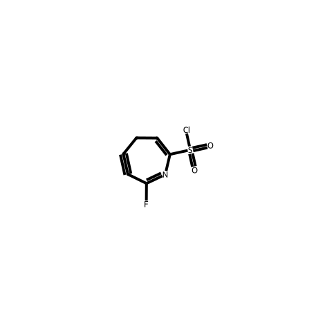 O=S(=O)(Cl)C1=CCC#CC(F)=N1